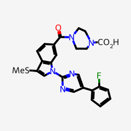 CSc1cn(-c2ncc(-c3ccccc3F)cn2)c2cc(C(=O)N3CCN(C(=O)O)CC3)ccc12